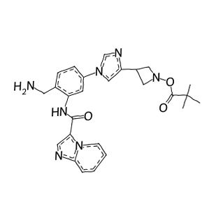 CC(C)(C)C(=O)ON1CC(c2cn(-c3ccc(CN)c(NC(=O)c4cnc5ccccn45)c3)cn2)C1